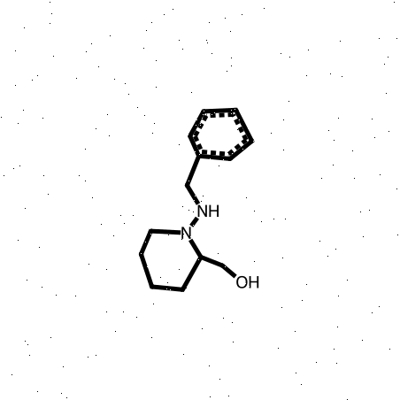 OCC1CCCCN1NCc1ccccc1